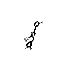 Cc1cc(C#Cc2cn(Cc3ccc(F)c(F)c3)c(C)n2)ccn1